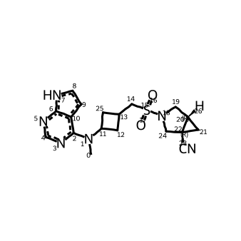 CN(c1ncnc2[nH]ccc12)C1CC(CS(=O)(=O)N2C[C@@H]3C[C@]3(C#N)C2)C1